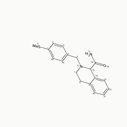 CSc1ccc(CN2CCc3c[c]ccc3C2C(N)=O)cc1